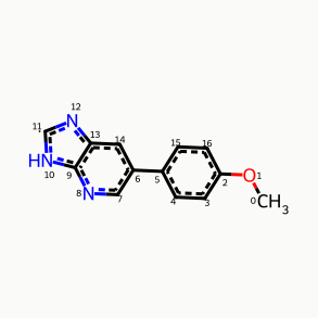 COc1ccc(-c2cnc3[nH][c]nc3c2)cc1